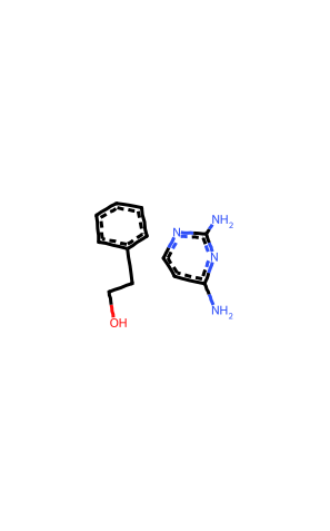 Nc1ccnc(N)n1.OCCc1ccccc1